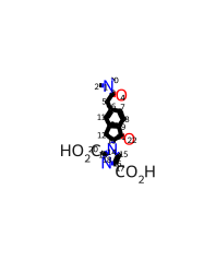 CN(C)C(=O)Cc1ccc2c(c1)CC(n1cc(C(=O)O)nc1C(=O)O)C2=O